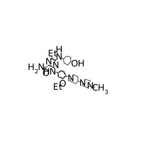 CCOc1cc(Nc2nc(NC3CCC(O)CC3)c(CC)nc2C(N)=O)ccc1N1CCC(N2CCN(C)CC2)CC1